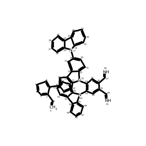 C=Cc1ccccc1-c1ccc2c(c1)c1cc(-n3c4ccccc4c4ccccc43)ccc1n2-c1cc(C=N)c(C=N)cc1-n1c2ccccc2c2ccccc21